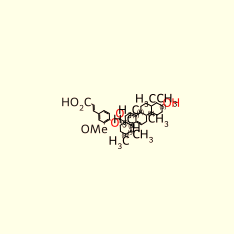 COc1cc(C=CC(=O)O)ccc1OC(=O)[C@]12CC[C@@H](C)[C@H](C)[C@H]1C1=CCC3[C@@]4(C)CC[C@H](O)C(C)(C)C4CC[C@@]3(C)[C@]1(C)CC2